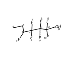 CCC(F)C(F)(F)C(F)(F)C(O)(F)F